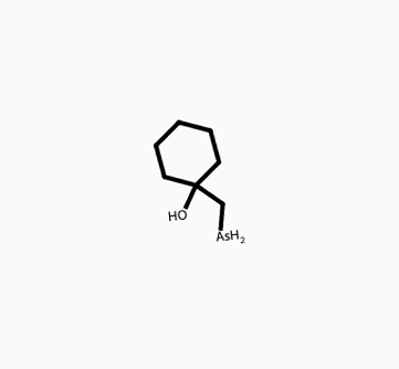 OC1(C[AsH2])CCCCC1